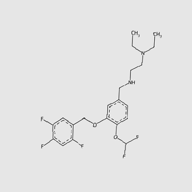 CCN(CC)CCNCc1ccc(OC(F)F)c(OCc2cc(F)c(F)cc2F)c1